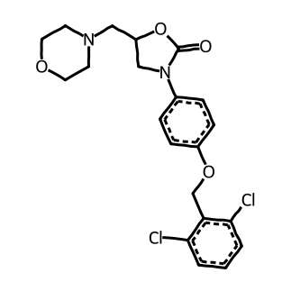 O=C1OC(CN2CCOCC2)CN1c1ccc(OCc2c(Cl)cccc2Cl)cc1